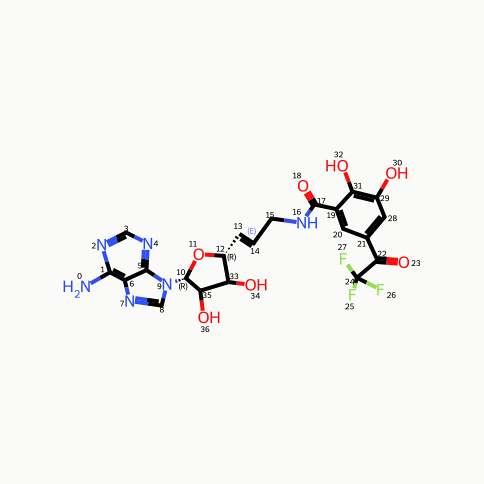 Nc1ncnc2c1ncn2[C@@H]1O[C@H](/C=C/CNC(=O)c2cc(C(=O)C(F)(F)F)cc(O)c2O)C(O)C1O